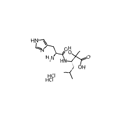 CC(C)C[C@H](NC(=O)[C@@H](N)Cc1c[nH]cn1)C(C)(O)C(=O)O.Cl.Cl